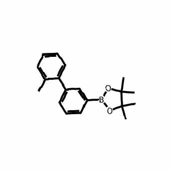 Cc1ccccc1-c1cccc(B2OC(C)(C)C(C)(C)O2)c1